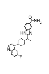 CC(c1nc2cc(C(N)=O)ccc2[nH]1)C1CCC(c2ccnc3ccc(F)cc23)CC1